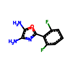 Nc1nc(-c2c(F)cccc2F)oc1N